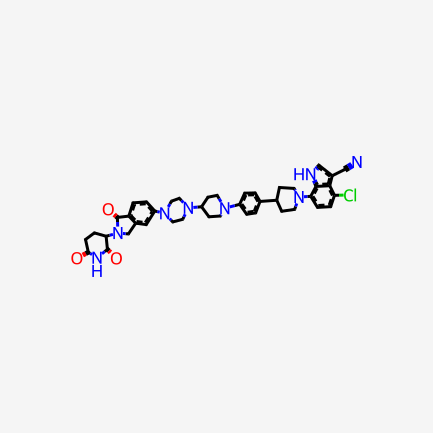 N#Cc1c[nH]c2c(N3CCC(c4ccc(N5CCC(N6CCN(c7ccc8c(c7)CN(C7CCC(=O)NC7=O)C8=O)CC6)CC5)cc4)CC3)ccc(Cl)c12